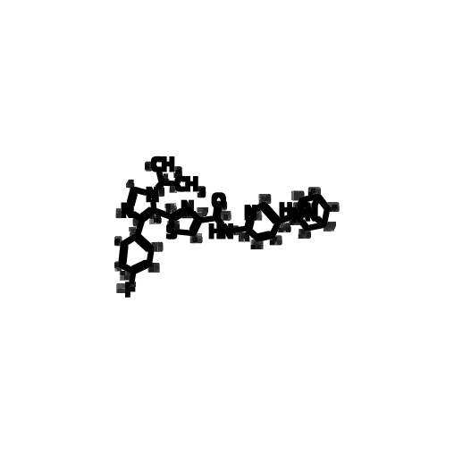 CC(C)n1cnc(-c2ccc(F)cc2)c1-c1nc(C(=O)Nc2ccc(N3CC4CC(C3)N4C)cn2)cs1